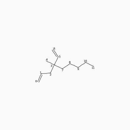 C=CCC(C)(C=C)CCCCC